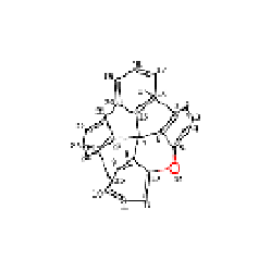 Cc1cccc2c1C1(c3ccccc3O2)c2ccccc2-c2cccc(C)c21